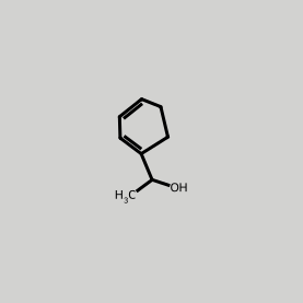 CC(O)C1=CC=CCC1